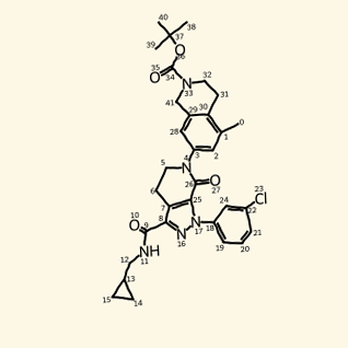 Cc1cc(N2CCc3c(C(=O)NCC4CC4)nn(-c4cccc(Cl)c4)c3C2=O)cc2c1CCN(C(=O)OC(C)(C)C)C2